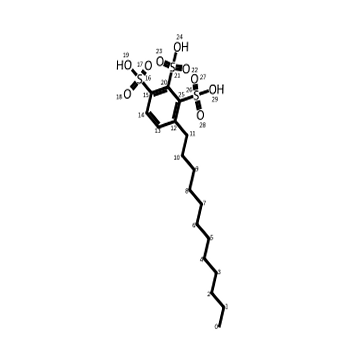 CCCCCCCCCCCCc1ccc(S(=O)(=O)O)c(S(=O)(=O)O)c1S(=O)(=O)O